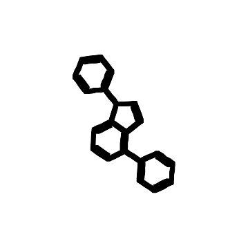 C1=CC(c2ccccc2)c2cccc(-c3ccccc3)c21